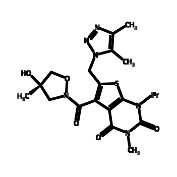 Cc1nnn(Cc2sc3c(c2C(=O)N2C[C@](C)(O)CO2)c(=O)n(C)c(=O)n3C(C)C)c1C